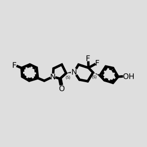 O=C1[C@@H](N2CC[C@@H](c3ccc(O)cc3)C(F)(F)C2)CCN1Cc1ccc(F)cc1